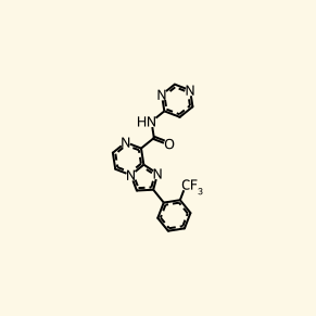 O=C(Nc1ccncn1)c1nccn2cc(-c3ccccc3C(F)(F)F)nc12